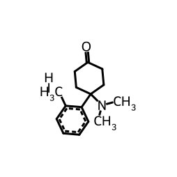 Cc1ccccc1C1(N(C)C)CCC(=O)CC1.I